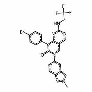 Cn1cc2cc(-n3cc4cnc(NCC(F)(F)F)nc4c(-c4ccc(Br)cc4)c3=O)ccc2n1